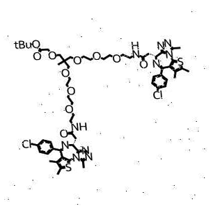 Cc1sc2c(c1C)C(c1ccc(Cl)cc1)=N[C@H](CC(=O)NCCOCCOCCOCC(C)(COCCOCCOCCNC(=O)C[C@H]1N=C(c3ccc(Cl)cc3)c3c(sc(C)c3C)-n3c(C)nnc31)COCC(=O)OC(C)(C)C)c1nnc(C)n1-2